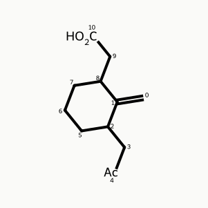 C=C1C(CC(C)=O)CCCC1CC(=O)O